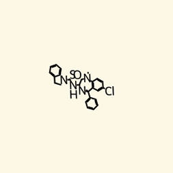 CN1C(=O)C(NC(=S)N2CCc3ccccc32)N=C(c2ccccc2)c2cc(Cl)ccc21